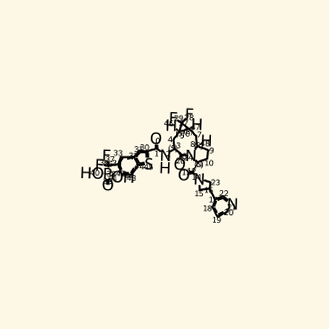 O=C(N[C@H]1C[C@H]2[C@@H](C[C@H]3CC[C@@H](C(=O)N4CC(c5cccnc5)C4)N3C1=O)C2(F)F)c1cc2cc(C(F)(F)P(=O)(O)O)ccc2s1